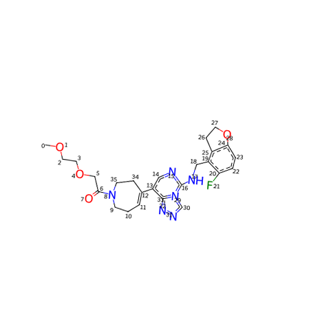 COCCOCC(=O)N1CCC=C(c2cnc(NCc3c(F)ccc4c3CCO4)n3cnnc23)CC1